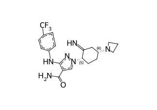 N=C1C[C@H](N2CCC2)CC[C@@H]1n1cc(C(N)=O)c(Nc2ccc(C(F)(F)F)cc2)n1